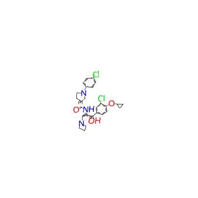 O=C(N[C@H](CN1CCC1)[C@H](O)c1ccc(OC2CC2)c(Cl)c1)[C@@H]1CCN(c2ccc(Cl)cc2)C1